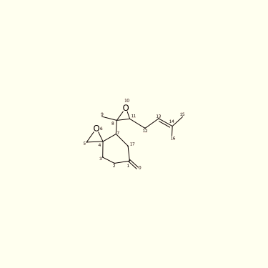 C=C1CCC2(CO2)C(C2(C)OC2CC=C(C)C)C1